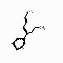 CC=CC=C(CCC)c1ccccc1